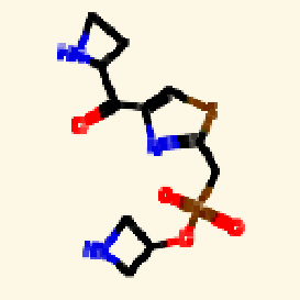 O=C(c1csc(CS(=O)(=O)OC2CNC2)n1)C1CCN1